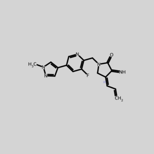 C=C/C=C1/CN(Cc2ncc(-c3cnn(C)c3)cc2F)C(=O)C1=N